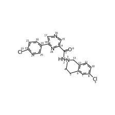 O=C(NN1CCc2cc(Cl)ccc2C1)c1cncc(-c2ccc(Cl)cc2)n1